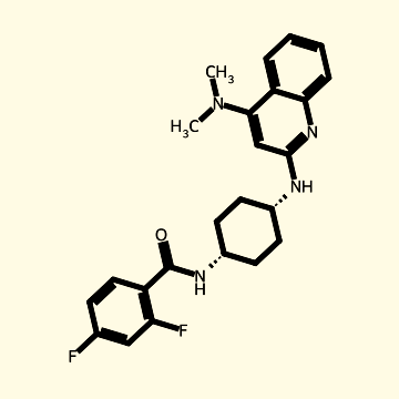 CN(C)c1cc(N[C@H]2CC[C@@H](NC(=O)c3ccc(F)cc3F)CC2)nc2ccccc12